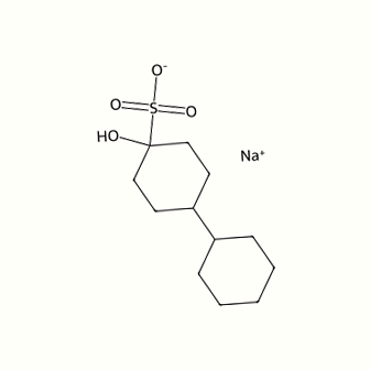 O=S(=O)([O-])C1(O)CCC(C2CCCCC2)CC1.[Na+]